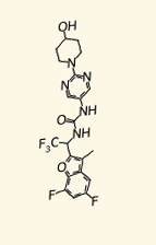 Cc1c(C(NC(=O)Nc2cnc(N3CCC(O)CC3)nc2)C(F)(F)F)oc2c(F)cc(F)cc12